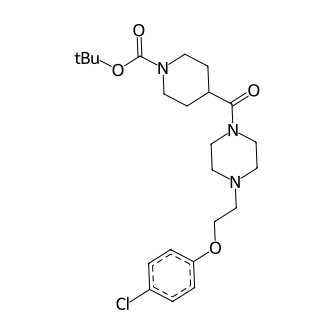 CC(C)(C)OC(=O)N1CCC(C(=O)N2CCN(CCOc3ccc(Cl)cc3)CC2)CC1